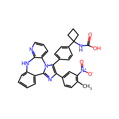 Cc1ccc(-c2nc3n(c2-c2ccc(C4(NC(=O)O)CCC4)cc2)-c2cccnc2Nc2ccccc2-3)cc1[N+](=O)[O-]